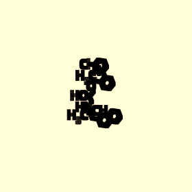 CC(OC[C@H](O)CNC(C)(C)Cc1ccc2ccccc2c1)c1ccccc1-c1cccc(Cl)n1